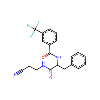 N#CCCNC(=O)C(Cc1ccccc1)NC(=O)c1cccc(C(F)(F)F)c1